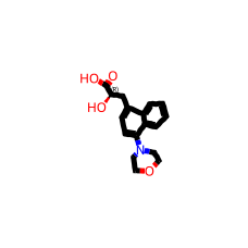 O=C(O)[C@H](O)Cc1ccc(N2CCOCC2)c2ccccc12